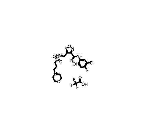 O=C(O)C(F)(F)F.O=S(=O)(CCCN1CCOCC1)NCc1nonc1C(=NO)Nc1ccc(F)c(Cl)c1